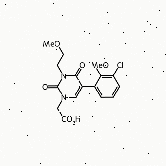 COCCn1c(=O)c(-c2cccc(Cl)c2OC)cn(CC(=O)O)c1=O